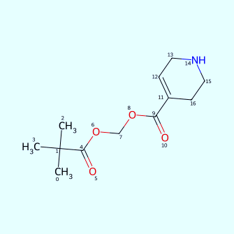 CC(C)(C)C(=O)OCOC(=O)C1=CCNCC1